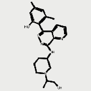 Cc1cc(C)c(-c2nnc(NC3CCCN(C(C)CO)C3)c3ncccc23)c(O)c1